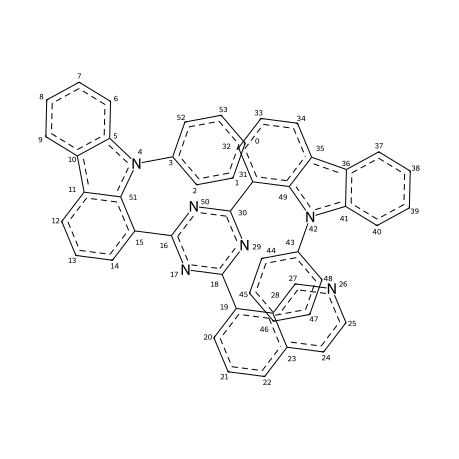 c1ccc(-n2c3ccccc3c3cccc(-c4nc(-c5cccc6ccncc56)nc(-c5cccc6c7ccccc7n(-c7ccccc7)c56)n4)c32)cc1